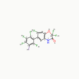 O=C1Nc2cc(-c3c(F)c(F)c(F)c(I)c3F)c(F)cc2OC1(F)F